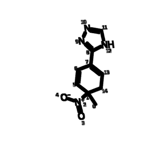 CC1([N+](=O)[O-])C=CC(c2nnc[nH]2)=CC1